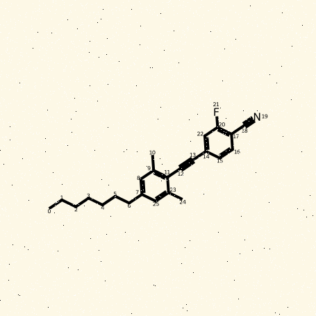 CCCCCCCc1cc(C)c(C#Cc2ccc(C#N)c(F)c2)c(C)c1